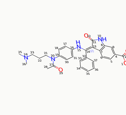 COC(=O)c1ccc2c(c1)NC(=O)/C2=C(\Nc1ccc(N(CCCN(C)C)C(C)=O)cc1)c1ccccc1